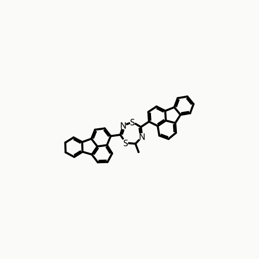 CC1N=C(c2ccc3c4c(cccc24)-c2ccccc2-3)SN=C(c2ccc3c4c(cccc24)C2=CCCC=C23)S1